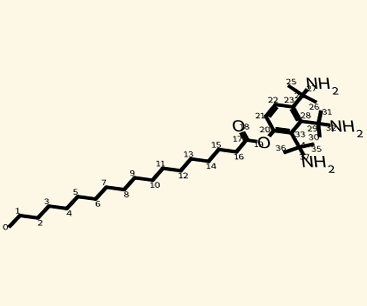 CCCCCCCCCCCCCCCCCC(=O)Oc1ccc(C(C)(C)N)c(C(C)(C)N)c1C(C)(C)N